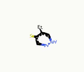 CCc1c[nH]ncc1=S